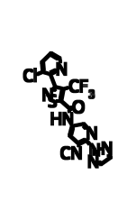 N#Cc1cc(NC(=O)c2snc(-c3ncccc3Cl)c2C(F)(F)F)cnc1-n1nccn1